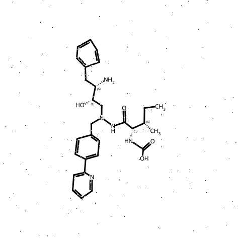 CC[C@H](C)[C@H](NC(=O)O)C(=O)NN(Cc1ccc(-c2ccccn2)cc1)C[C@H](O)[C@@H](N)Cc1ccccc1